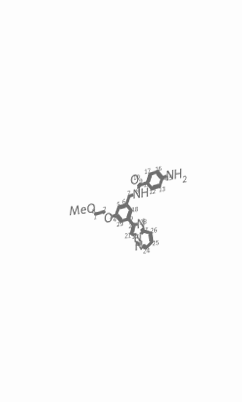 COCCOc1cc(CNC(=O)c2ccc(N)cc2)cc(-c2cn3ncccc3n2)c1